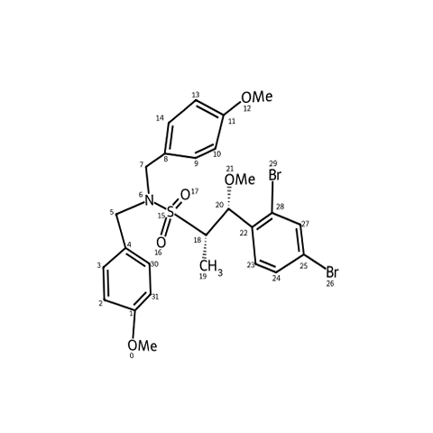 COc1ccc(CN(Cc2ccc(OC)cc2)S(=O)(=O)[C@@H](C)[C@H](OC)c2ccc(Br)cc2Br)cc1